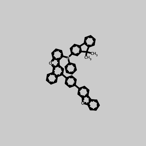 CC1(C)c2ccccc2-c2ccc(N(c3ccccc3)c3cccc4oc5c6ccccc6c(-c6ccc(-c7ccc8c(c7)oc7ccccc78)cc6)cc5c34)cc21